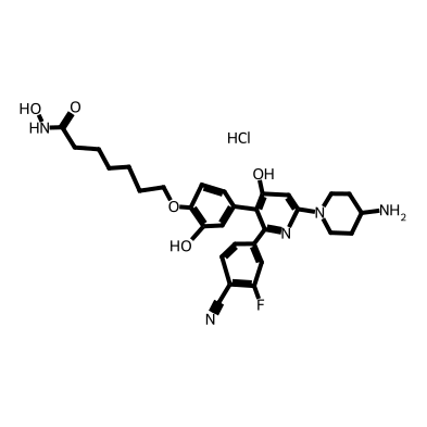 Cl.N#Cc1ccc(-c2nc(N3CCC(N)CC3)cc(O)c2-c2ccc(OCCCCCCC(=O)NO)c(O)c2)cc1F